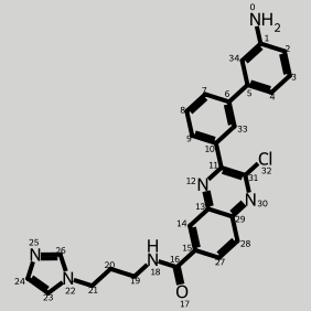 Nc1cccc(-c2cccc(-c3nc4cc(C(=O)NCCCn5ccnc5)ccc4nc3Cl)c2)c1